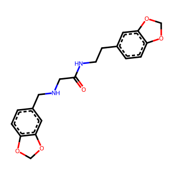 O=C(CNCc1ccc2c(c1)OCO2)NCCc1ccc2c(c1)OCO2